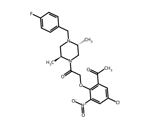 CC(=O)c1cc(Cl)cc([N+](=O)[O-])c1OCC(=O)N1C[C@@H](C)N(Cc2ccc(F)cc2)C[C@@H]1C